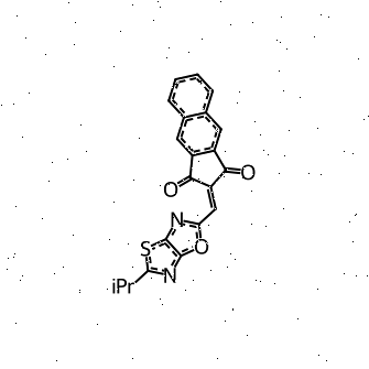 CC(C)c1nc2oc(C=C3C(=O)c4cc5ccccc5cc4C3=O)nc2s1